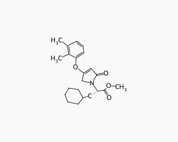 COC(=O)[C@H](CC1CCCCC1)N1CC(Oc2cccc(C)c2C)=CC1=O